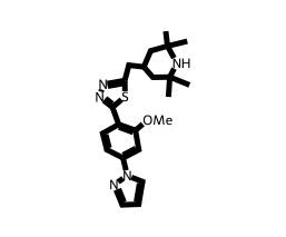 COc1cc(-n2cccn2)ccc1-c1nnc(CC2CC(C)(C)NC(C)(C)C2)s1